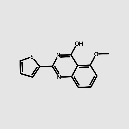 COc1cccc2nc(-c3cccs3)nc(O)c12